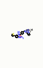 C[Si]1(C)CN[C@H](CN(Cc2ccc(C(=O)Nc3cc(-c4cccs4)ccc3N)cc2)C(=O)O)C1